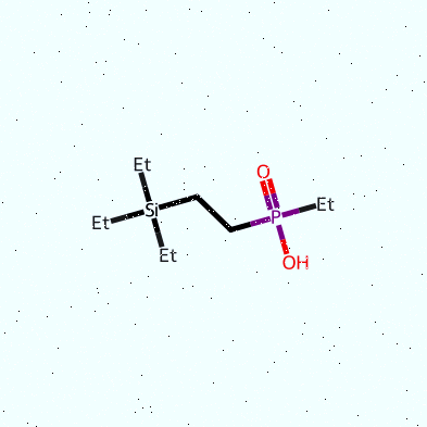 CC[Si](CC)(CC)CCP(=O)(O)CC